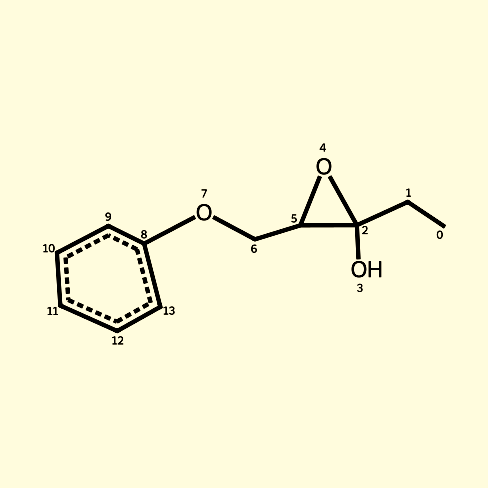 CCC1(O)OC1COc1ccccc1